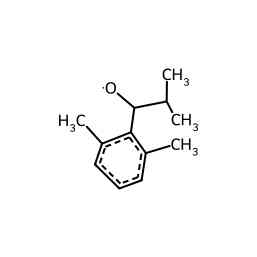 Cc1cccc(C)c1C([O])C(C)C